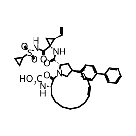 C=C[C@@H]1C[C@]1(NC(=O)[C@@H]1C[C@@]2(c3ccc(-c4ccccc4)cc3)CN1C(=O)[C@@H](NC(=O)O)CCCCCC/C=C\CS2)C(=O)NS(=O)(=O)C1CC1